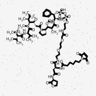 CC[C@H](C)[C@@H]([C@@H](CC(=O)N1CCC[C@H]1[C@H](OC)[C@@H](C)C(=O)N[C@H](C)[C@@H](OP(=O)(O)OP(=O)(O)OCCNC(=O)COCCOCCNC(=O)[C@H](CC(=O)N[C@H]1CCOC1=O)NC(=O)CCCCCN1C(=O)C=CC1=O)c1ccccc1)OC)N(C)C(=O)[C@@H](NC(=O)[C@H](C(C)C)N(C)C)C(C)C